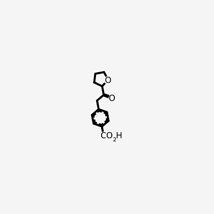 O=C(O)c1ccc(CC(=O)C2CCCO2)cc1